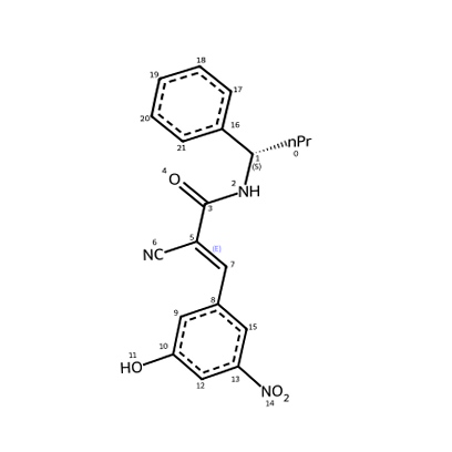 CCC[C@H](NC(=O)/C(C#N)=C/c1cc(O)cc([N+](=O)[O-])c1)c1ccccc1